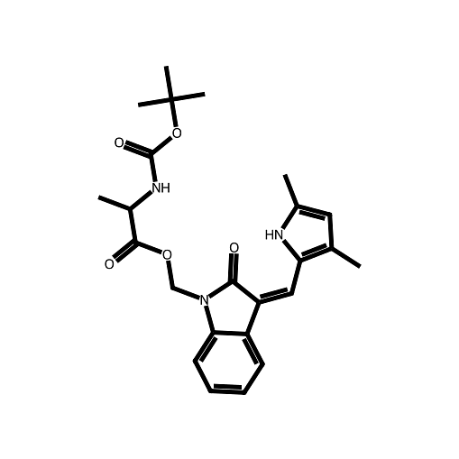 Cc1cc(C)c(/C=C2\C(=O)N(COC(=O)C(C)NC(=O)OC(C)(C)C)c3ccccc32)[nH]1